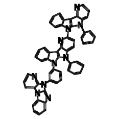 c1ccc(-n2c3ccc(-n4c5ccccc5c5c6ncccc6n(-c6ccccc6)c54)nc3c3c4ccccc4n(-c4cccc(-n5c6ncccc6n6c7ccccc7nc56)c4)c32)cc1